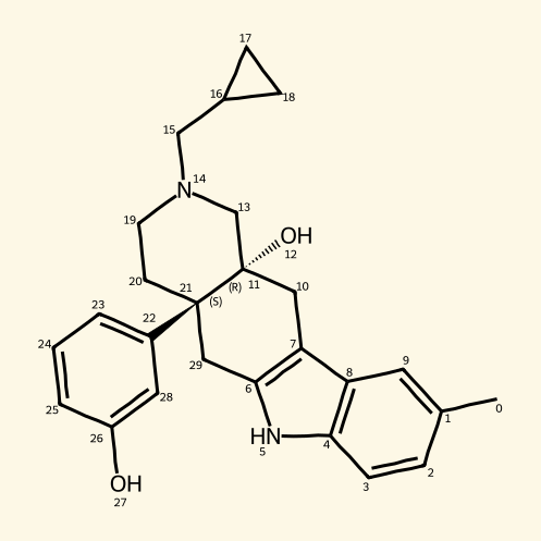 Cc1ccc2[nH]c3c(c2c1)C[C@]1(O)CN(CC2CC2)CC[C@@]1(c1cccc(O)c1)C3